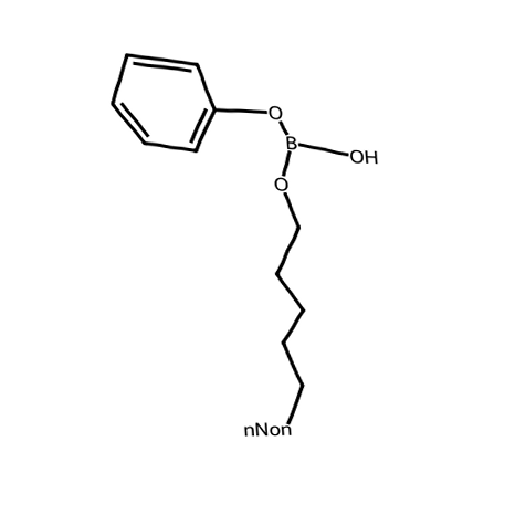 CCCCCCCCCCCCCCOB(O)Oc1ccccc1